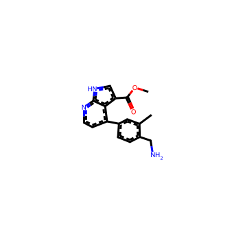 COC(=O)c1c[nH]c2nccc(-c3ccc(CN)c(C)c3)c12